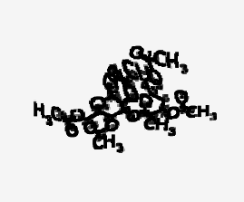 CC(=O)OCC1C[C@H](OC(C)=O)C(C)[C@H](O[C@@H]2C(OC(C)=O)[C@H](C)OC(COC(C)=O)[C@@H]2OC(C)=O)O1